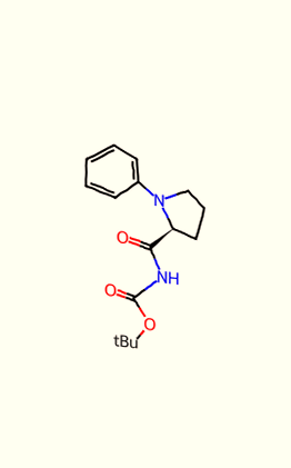 CC(C)(C)OC(=O)NC(=O)[C@@H]1CCCN1c1ccccc1